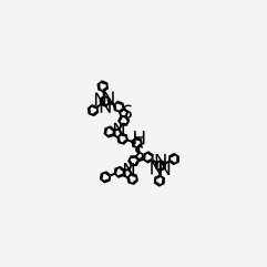 c1ccc(-c2ccc3c(c2)c2ccccc2n3-c2ccc3c(c2)-c2cc(-c4nc(-c5ccccc5)nc(-c5ccccc5)n4)ccc2[SH]3c2cccc(-c3ccc4c5ccccc5n(-c5ccc6sc7ccc(-c8nc(-c9ccccc9)nc(-c9ccccc9)n8)cc7c6c5)c4c3)c2)cc1